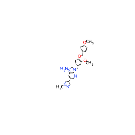 COc1ccc(COc2ccc(CN3CN(N)c4cc(-c5cnn(C)c5)cnc43)cc2OC)cc1